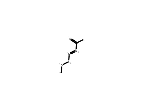 CSSN=NC(C)=S